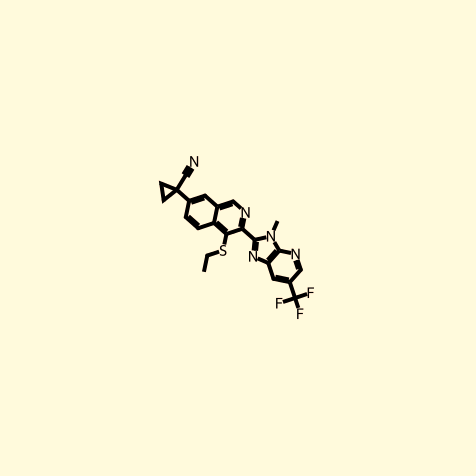 CCSc1c(-c2nc3cc(C(F)(F)F)cnc3n2C)ncc2cc(C3(C#N)CC3)ccc12